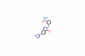 CNC(=O)c1cccc(Cn2ccc3cc(-c4cnn(C)c4)ccc3c2=O)c1